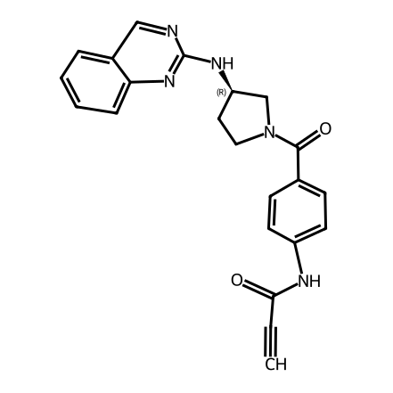 C#CC(=O)Nc1ccc(C(=O)N2CC[C@@H](Nc3ncc4ccccc4n3)C2)cc1